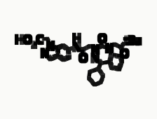 CC(C)(C)C(=O)CN1C(=O)N(CC(=O)Nc2ccc3cnn(CC(=O)O)c3c2)N=C(C2CCCCC2)c2ccccc21